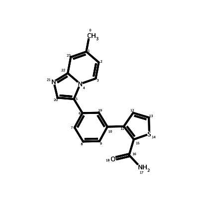 Cc1ccn2c(-c3cccc(-c4ccsc4C(N)=O)c3)cnc2c1